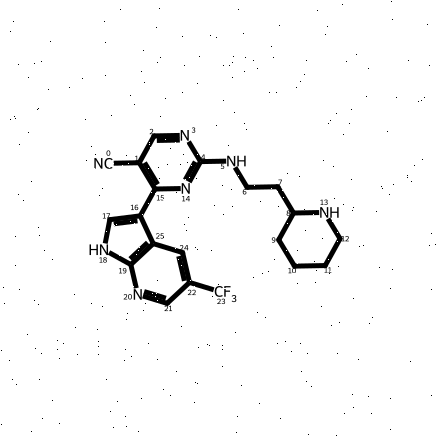 N#Cc1cnc(NCCC2CCCCN2)nc1-c1c[nH]c2ncc(C(F)(F)F)cc12